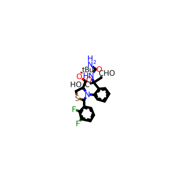 CC(C)(C)OC(=O)C1CSC(c2cccc(F)c2F)N1c1ccccc1C(CC=O)(NC(N)=O)C(=O)O